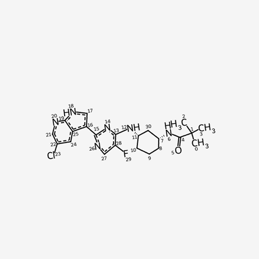 CC(C)(C)C(=O)N[C@@H]1CCC[C@H](Nc2nc(-c3c[nH]c4ncc(Cl)cc34)ncc2F)C1